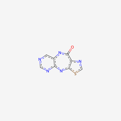 O=c1nc2cncnc2nc2scnc12